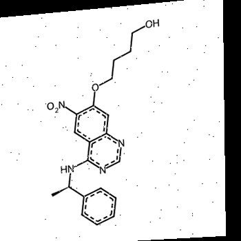 C[C@@H](Nc1ncnc2cc(OCCCCO)c([N+](=O)[O-])cc12)c1ccccc1